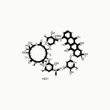 CC[C@H]1OC(=O)[C@H](C)[C@@H](O[C@H]2C[C@@](C)(OC)[C@@H](O)[C@H](C)O2)[C@H](C)[C@@H](O[C@@H]2O[C@H](C)C[C@H](N(C)C)[C@H]2O)[C@](C)(O)C[C@@H](C)C(=O)[C@H](C)[C@@H](O)[C@]1(C)O.COc1cccc2c1C(=O)c1c(O)c3c(c(O)c1C2=O)C[C@@](O)(C(C)=O)C[C@@H]3O[C@H]1C[C@H](N)[C@H](O)[C@H](C)O1.Cl